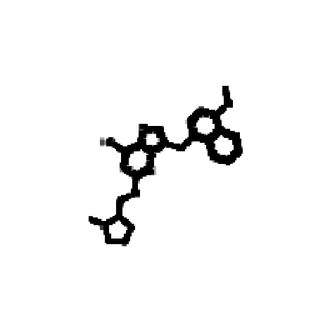 COc1ccc(Cc2cnc3c(O)nc(OCC4CCCN4C)nn23)c2ccccc12